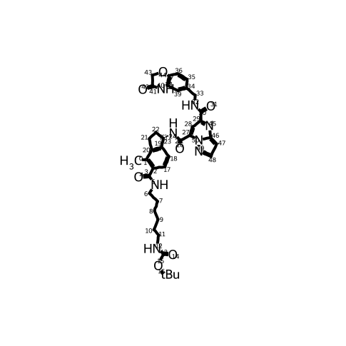 Cc1c(C(=O)NCCCCCCNC(=O)OC(C)(C)C)ccc2c1CC[C@@H]2NC(=O)c1cc(C(=O)NCc2ccc3c(c2)NC(=O)CO3)nc2ccnn12